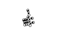 [O]=[V](=[O])[O][V](=[O])=[O].[O]=[V]=[O].[O]=[V]=[O].[O]=[V]=[O].[O]=[V]=[O]